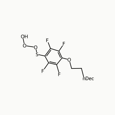 CCCCCCCCCCCCOc1c(F)c(F)c(SOOO)c(F)c1F